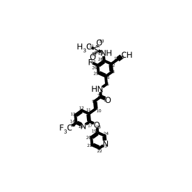 C#Cc1cc(CNC(=O)/C=C/c2ccc(C(F)(F)F)nc2Oc2cccnc2)cc(F)c1NS(C)(=O)=O